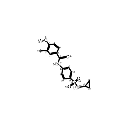 COc1ccc(C(=O)Nc2ccc(S(=O)(=O)NC3CC3)cc2)cc1I